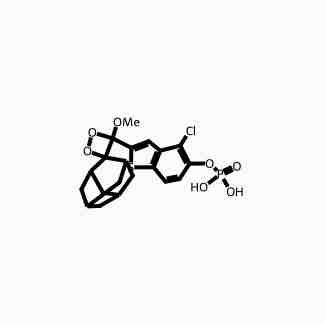 COC1(c2cc3c(Cl)c(OP(=O)(O)O)ccc3s2)OOC12C1CC3CC(C1)CC2C3